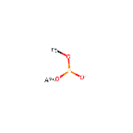 CCOP([O-])[O-].[Al+2]